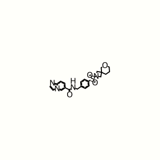 O=C(NCc1ccc(S(=O)(=O)N2CC3(CCCOC3)C2)cc1)c1ccc2nccn2c1